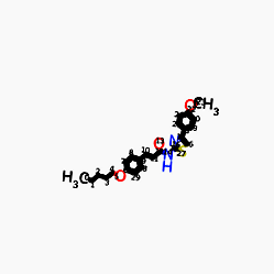 CCCCCOc1ccc(/C=C/C(=O)Nc2nc(-c3ccc(OC)cc3)cs2)cc1